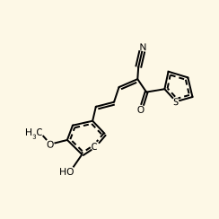 COc1cc(C=CC=C(C#N)C(=O)c2cccs2)ccc1O